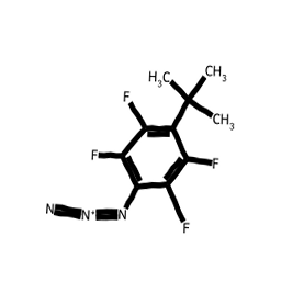 CC(C)(C)c1c(F)c(F)c(N=[N+]=[N-])c(F)c1F